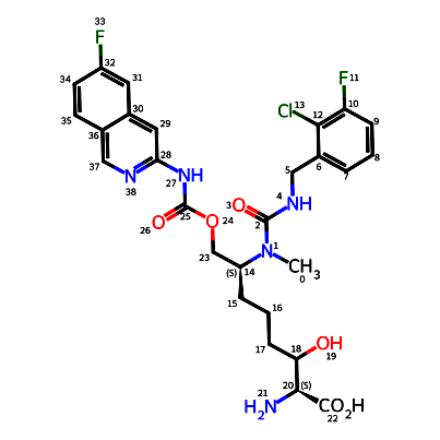 CN(C(=O)NCc1cccc(F)c1Cl)[C@@H](CCCC(O)[C@H](N)C(=O)O)COC(=O)Nc1cc2cc(F)ccc2cn1